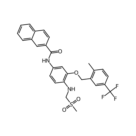 Cc1ccc(C(F)(F)F)cc1COc1cc(NC(=O)c2ccc3ccccc3c2)ccc1NCS(C)(=O)=O